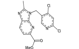 COC(=O)c1ccc2nc(C)n(Cc3cnc(Cl)cc3Cl)c2n1